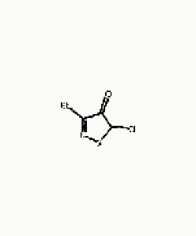 CCC1=NSC(Cl)C1=O